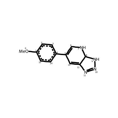 COc1ccc(C2=CNC3NN=NC3=C2)cc1